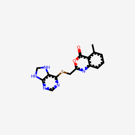 Cc1cccc2nc(CSc3ncnc4c3NCN4)oc(=O)c12